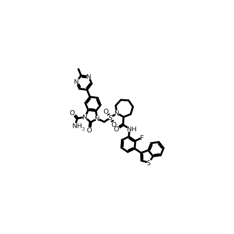 Cc1ncc(-c2ccc3c(c2)n(C(N)=O)c(=O)n3CS(=O)(=O)N2CCCCCC2C(=O)Nc2cccc(-c3csc4ccccc34)c2F)cn1